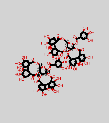 O=C(O[C@@H]1O[C@@H]2COC(=O)c3cc(O)c(O)c(O)c3-c3c(O)c(O)c(O)c(Oc4cc(C(=O)O[C@@H]5O[C@@H]6COC(=O)c7cc(O)c(O)c(O)c7-c7c(cc(O)c(O)c7O)C(=O)O[C@H]6[C@@H]6OC(=O)c7cc(O)c(O)c(O)c7-c7cc(O)c(O)c(O)c7C(=O)O[C@@H]56)cc(O)c4O)c3C(=O)O[C@H]2[C@@H]2OC(=O)c3cc(O)c(O)c(O)c3-c3c(cc(O)c(O)c3O)C(=O)O[C@@H]12)c1cc(O)c(O)c(O)c1